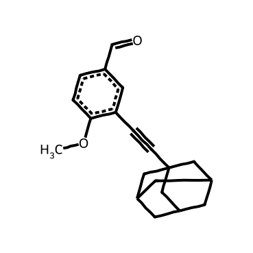 COc1ccc(C=O)cc1C#CC12CC3CC(CC(C3)C1)C2